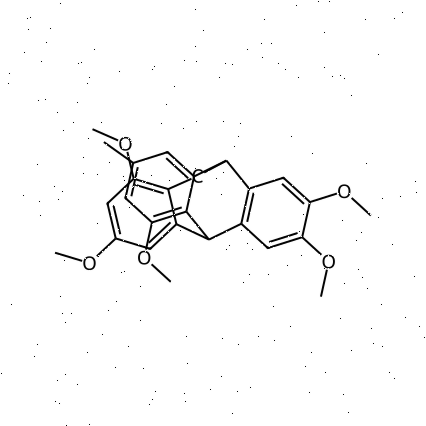 COc1cc(OC)c2c(c1)C1c3cc(OC)c(OC)cc3C(C2)c2cc(C)cc(OC)c21